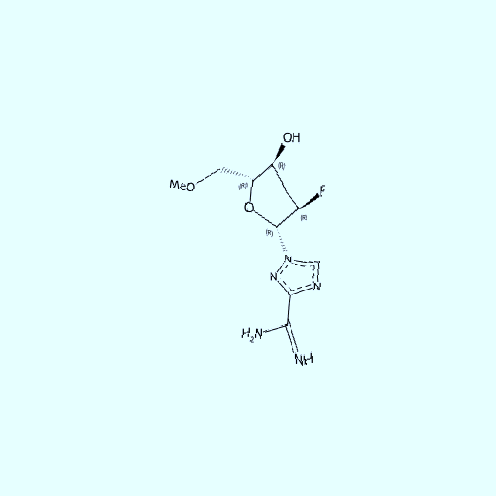 COC[C@H]1O[C@@H](n2cnc(C(=N)N)n2)[C@H](F)[C@@H]1O